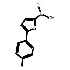 Cc1ccc(-c2ccc(B(O)O)s2)cc1